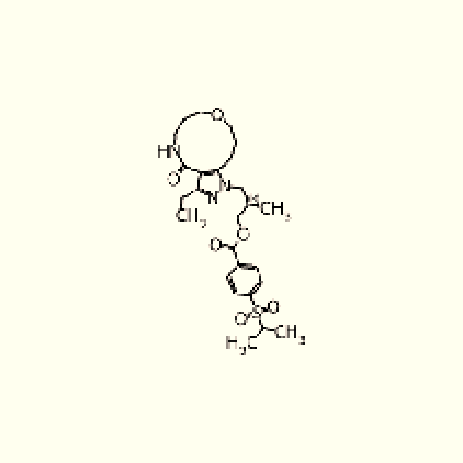 CCc1nn(C[C@@H](C)COC(=O)c2ccc(S(=O)(=O)C(C)C)cc2)c2c1C(=O)NCCCOCCC2